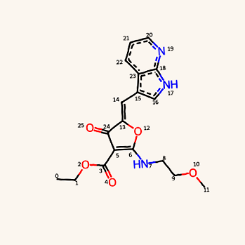 CCOC(=O)C1=C(NCCOC)OC(=Cc2c[nH]c3ncccc23)C1=O